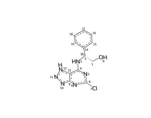 OC[C@H](Nc1nc(Cl)nc2nn[nH]c12)c1ccccc1